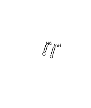 [O]=[InH].[O]=[Nd]